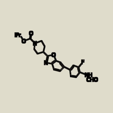 CC(C)OC(=O)N1CCC(c2nc3ccc(-c4ccc(NC=O)c(F)c4)cc3o2)CC1